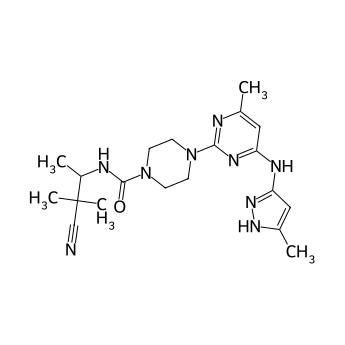 Cc1cc(Nc2cc(C)[nH]n2)nc(N2CCN(C(=O)NC(C)C(C)(C)C#N)CC2)n1